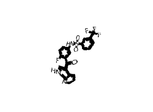 O=C(c1cc(NS(=O)(=O)c2cccc(C(F)(F)F)c2)ccc1F)c1c[nH]c2ncccc12